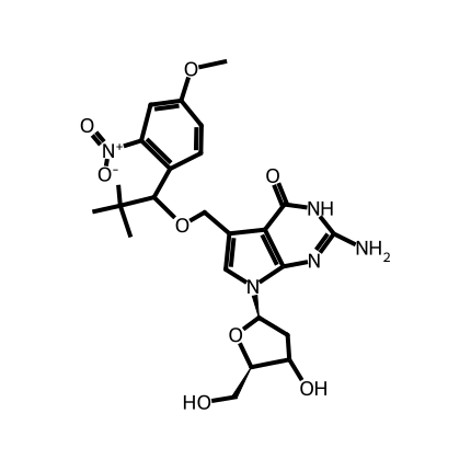 COc1ccc(C(OCc2cn([C@H]3CC(O)[C@@H](CO)O3)c3nc(N)[nH]c(=O)c23)C(C)(C)C)c([N+](=O)[O-])c1